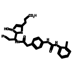 Cc1ccccc1NC(=O)Nc1ccc(CC(=O)NC(CC(C)C)C2SC(CCC(=O)O)=CN2O)cc1